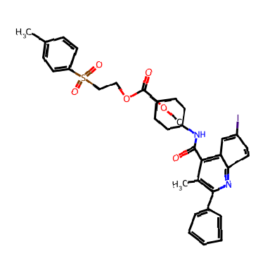 Cc1ccc(S(=O)(=O)CCOC(=O)C23CCC(NC(=O)c4c(C)c(-c5ccccc5)nc5ccc(I)cc45)(CC2)CO3)cc1